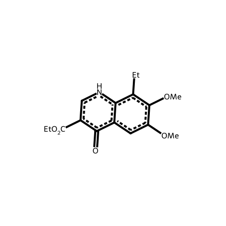 CCOC(=O)c1c[nH]c2c(CC)c(OC)c(OC)cc2c1=O